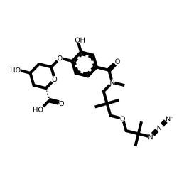 CN(CC(C)(C)COCC(C)(C)N=[N+]=[N-])C(=O)c1ccc(OC2CC(O)C[C@@H](C(=O)O)O2)c(O)c1